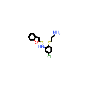 NCCCSc1ccc(Cl)cc1NSc1cc2ccccc2o1